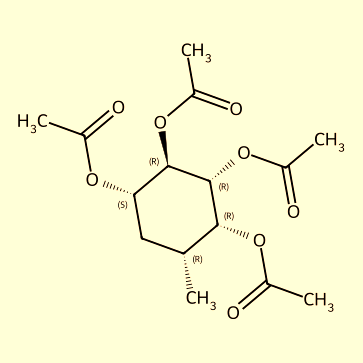 CC(=O)O[C@@H]1[C@H](OC(C)=O)[C@H](C)C[C@H](OC(C)=O)[C@H]1OC(C)=O